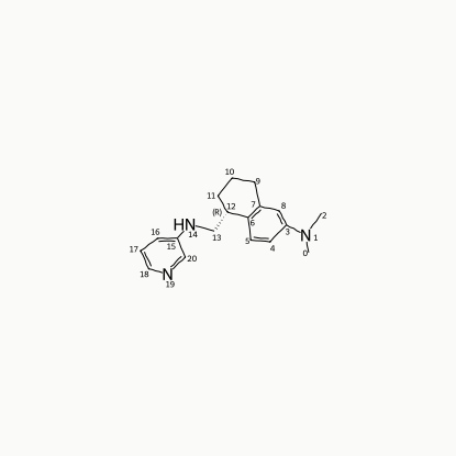 CN(C)c1ccc2c(c1)CCC[C@H]2CNc1cccnc1